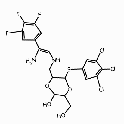 N/C(=C\NCC1OC(O)C(CO)OC1Sc1cc(Cl)c(Cl)c(Cl)c1)c1cc(F)c(F)c(F)c1